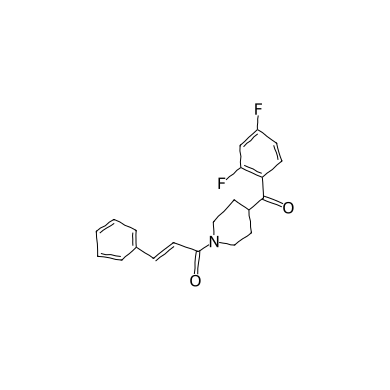 O=C(c1ccc(F)cc1F)C1CCN(C(=O)C=Cc2ccccc2)CC1